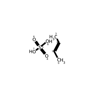 CC=CC.O=S(=O)(O)O